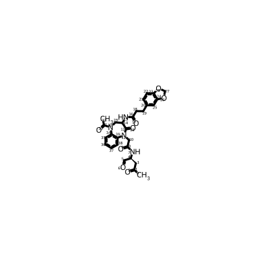 CC(=O)C[C@@H](C=O)NC(=O)CN1C(=O)C(NC(=O)CCc2ccc3c(c2)OCO3)CN(C(C)=O)c2ccccc21